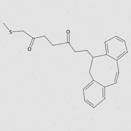 CSCC(=O)CCC(=O)CCC1Cc2ccccc2/C=C\c2ccccc21